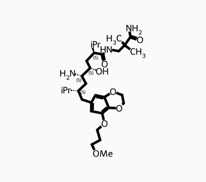 COCCCOc1cc(C[C@@H](C[C@H](N)[C@@H](O)C[C@H](C(=O)NCC(C)(C)C(N)=O)C(C)C)C(C)C)cc2c1OCCO2